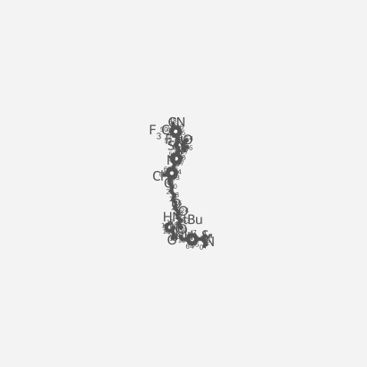 Cc1ncsc1-c1ccc(CNC(=O)C2CCCN2C(=O)C(NC(=O)COCCCCOc2ccc(-c3ccc(N4C(=S)N(c5ccc(C#N)c(C(F)(F)F)c5F)C(=O)C4(C)C)cn3)cc2Cl)C(C)(C)C)cc1